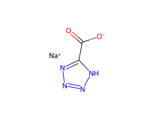 O=C([O-])c1nnn[nH]1.[Na+]